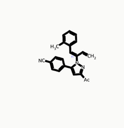 C=C/C(=C\c1ccccc1C)n1nc(C(C)=O)cc1-c1ccc(C#N)cc1